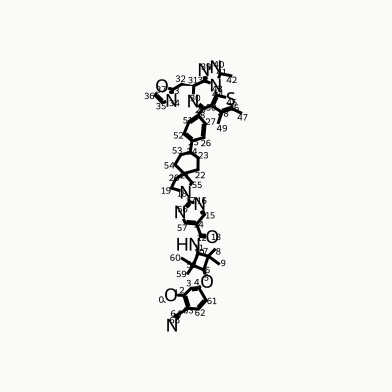 COc1cc(OC2C(C)(C)C(NC(=O)c3cnc(N4CCC5(CCC(c6ccc(C7=N[C@@H](Cc8ncco8)c8nnc(C)n8-c8sc(C)c(C)c87)cc6)CC5)C4)nc3)C2(C)C)ccc1C#N